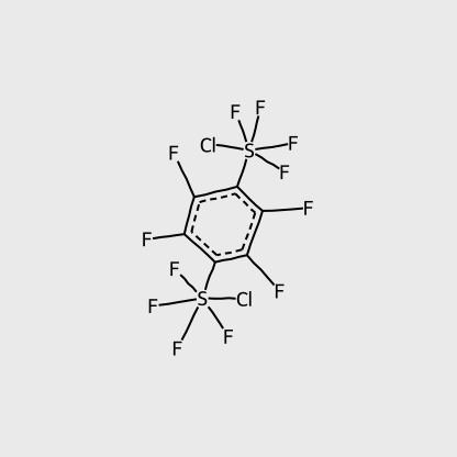 Fc1c(F)c(S(F)(F)(F)(F)Cl)c(F)c(F)c1S(F)(F)(F)(F)Cl